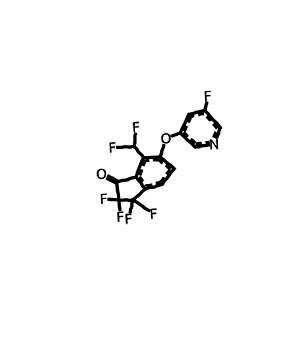 O=C1c2c(ccc(Oc3cncc(F)c3)c2C(F)F)C(F)(F)C1(F)F